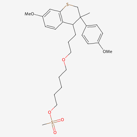 COc1ccc(C2(C)CSc3cc(OC)ccc3C2CCCOCCCCCOS(C)(=O)=O)cc1